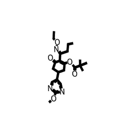 CCCC(=NOCC)C1=C(OC(=O)C(C)(C)C)CC(c2cnc(OC)nc2)CC1=O